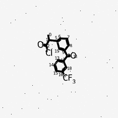 CC(C(=O)Cl)c1cccc(C(=O)c2cccc(C(F)(F)F)c2)c1